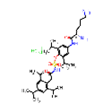 CC(C)c1cc(C(C)C)c(CC(=O)NS(=O)(=O)Oc2c(C(C)C)cc(NC(=O)[C@@H](N)CCCCN)cc2C(C)C)c(C(C)C)c1.Cl.Cl